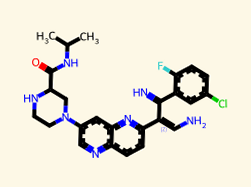 CC(C)NC(=O)C1CN(c2cnc3ccc(/C(=C/N)C(=N)c4cc(Cl)ccc4F)nc3c2)CCN1